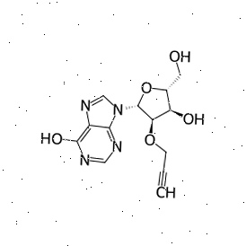 C#CCO[C@@H]1[C@H](O)[C@@H](CO)O[C@H]1n1cnc2c(O)ncnc21